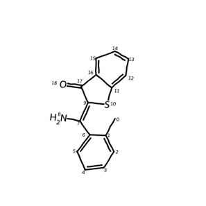 Cc1ccccc1C(N)=C1Sc2ccccc2C1=O